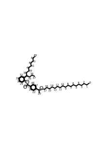 CCCCCCCCCCCCCCCCCCOC(C)c1ccc(C(=O)Oc2ccccc2C(CCC)CCCCCCCC)cc1